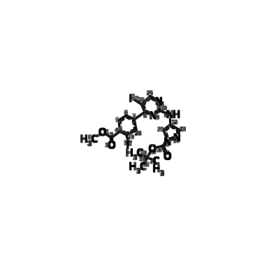 COC(=O)c1ccc(-c2nc(Nc3cnn(C(=O)OC(C)(C)C)c3)ncc2F)cc1F